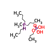 CCCC[PH](C)(CCCC)CCCC.CCCOP(=O)(O)O